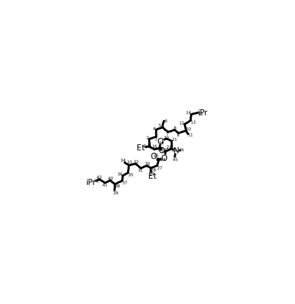 CCC(CCCC(C)CCCC(C)CCCC(C)C)CC(=O)OCCC(COC(=O)CC(CC)CCCC(C)CCCC(C)CCCC(C)C)N(C)C